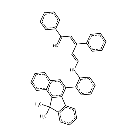 CC1(C)c2ccccc2-c2c(-c3ccccc3N/C=C/C(=C\C(=N)c3ccccc3)c3ccccc3)cc3ccccc3c21